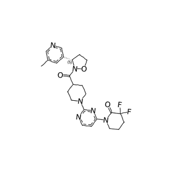 Cc1cncc([C@@H]2CCON2C(=O)C2CCN(c3nccc(N4CCCC(F)(F)C4=O)n3)CC2)c1